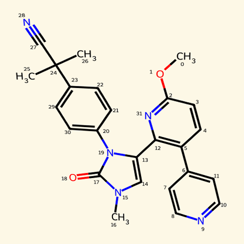 COc1ccc(-c2ccncc2)c(-c2cn(C)c(=O)n2-c2ccc(C(C)(C)C#N)cc2)n1